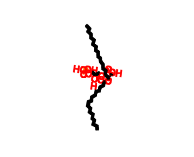 CCCCCCCC/C=C\CCCCCCCC(=O)O[C@@H](CO)C(OCC(O)COP(=O)(O)O)C(=O)CCCCCCCCCCCCCCC